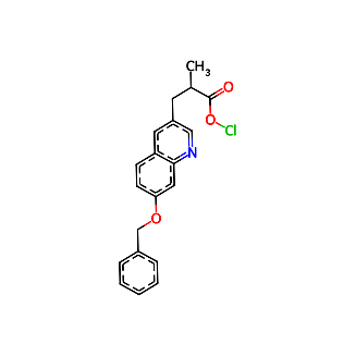 CC(Cc1cnc2cc(OCc3ccccc3)ccc2c1)C(=O)OCl